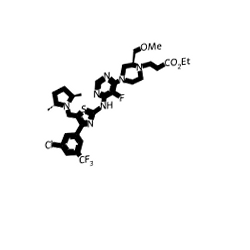 CCOC(=O)CCN1CCN(c2ncnc(Nc3nc(-c4cc(Cl)cc(C(F)(F)F)c4)c(CN4[C@H](C)CC[C@H]4C)s3)c2F)C[C@H]1COC